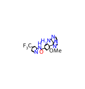 COc1cc(C(=O)Nc2cc(C(F)(F)F)ccn2)ccc1-c1ncn2ccnc(N)c12